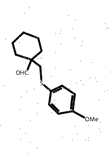 COc1ccc(SCC2(C=O)CCCCC2)cc1